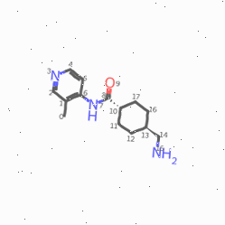 Cc1cnccc1NC(=O)[C@H]1CC[C@H](CN)CC1